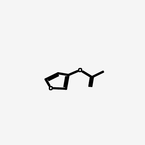 C=C(C)Oc1ccoc1